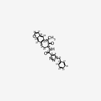 CN1C(=O)[C@@H](NC(=O)c2cn(Cc3ccccc3)nn2)CSc2cc3occc3cc21